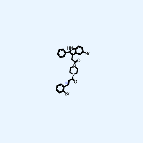 O=C(/C=C/c1ccccc1Br)N1CCN(C(=O)Cc2c(-c3ccccc3)[nH]c3ccc(Br)cc23)CC1